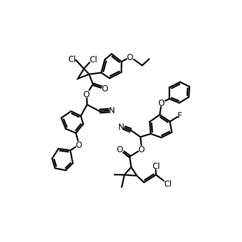 CC1(C)C(C=C(Cl)Cl)C1C(=O)OC(C#N)c1ccc(F)c(Oc2ccccc2)c1.CCOc1ccc(C2(C(=O)OC(C#N)c3cccc(Oc4ccccc4)c3)CC2(Cl)Cl)cc1